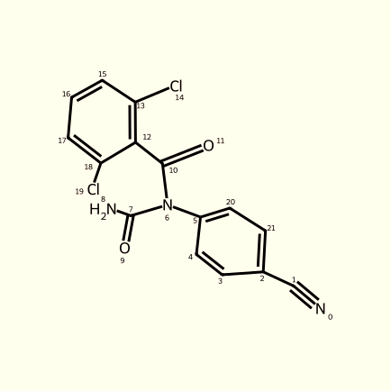 N#Cc1ccc(N(C(N)=O)C(=O)c2c(Cl)cccc2Cl)cc1